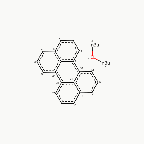 CCCCOCCCC.c1cc2cccc3c4cccc5cccc(c(c1)c23)c54